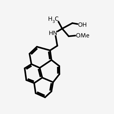 COCC(C)(CO)NCc1ccc2ccc3cccc4ccc1c2c34